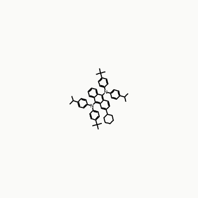 CC(C)c1ccc(N(c2ccc(C(C)(C)C)cc2)c2c3ccccc3c(N(c3ccc(C(C)C)cc3)c3ccc(C(C)(C)C)cc3)c3cc(C4CCCCC4)ccc23)cc1